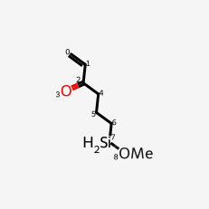 C=CC(=O)CCC[SiH2]OC